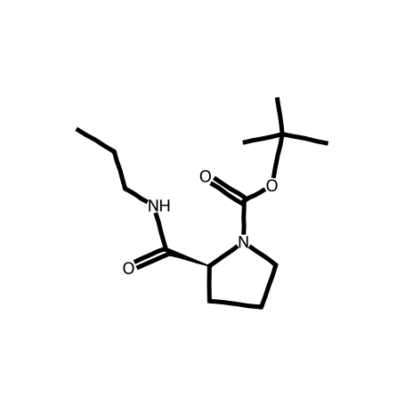 CCCNC(=O)[C@@H]1CCCN1C(=O)OC(C)(C)C